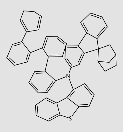 C1=CC(c2ccccc2-c2ccccc2-c2ccccc2N(c2ccc3c(c2)C2(CC4CCC2C4)c2ccccc2-3)c2cccc3sc4ccccc4c23)=CCC1